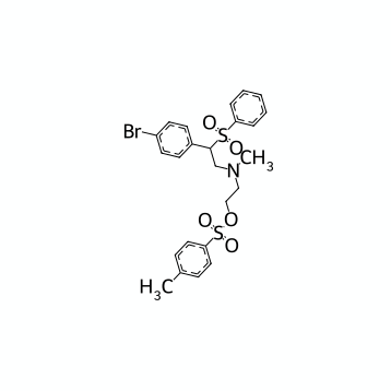 Cc1ccc(S(=O)(=O)OCCN(C)CC(c2ccc(Br)cc2)S(=O)(=O)c2ccccc2)cc1